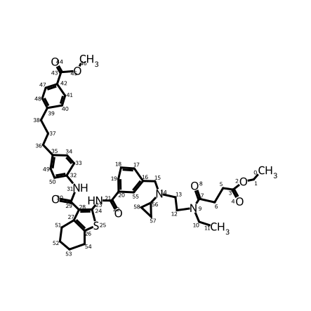 CCOC(=O)CCC(=O)N(CC)CCN(Cc1cccc(C(=O)Nc2sc3c(c2C(=O)Nc2ccc(CCCc4ccc(C(=O)OC)cc4)cc2)CCCC3)c1)C1CC1